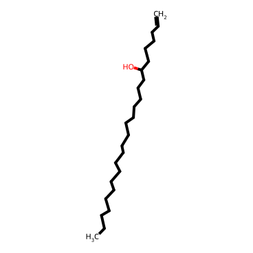 C=CCCCCC(O)CCCCCCCCCCCCCCCCCC